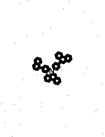 c1ccc2c(-c3ccc(N(c4ccc(-c5cc6ccccc6c6ccccc56)cc4)c4cc5ccccc5c5ccccc45)cc3)cccc2c1